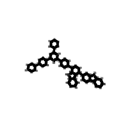 c1ccc(-c2cc(-c3ccc(-c4ccncc4)cc3)nc(-c3ccc(-c4ccc(-c5ccc6c(c5)sc5ccccc56)c5c4oc4ccccc45)cc3)n2)cc1